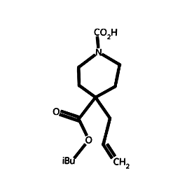 C=CCC1(C(=O)OC(C)CC)CCN(C(=O)O)CC1